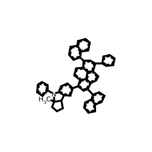 CC12CCCC1c1cc(-c3cc(-c4cccc5ccccc45)c4ccc5c(-c6ccccc6)cc(-c6cccc7ccccc67)c6ccc3c4c56)ccc1N2c1ccccc1